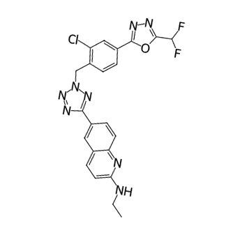 CCNc1ccc2cc(-c3nnn(Cc4ccc(-c5nnc(C(F)F)o5)cc4Cl)n3)ccc2n1